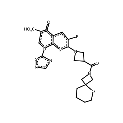 O=C(O)c1cn(-c2ncns2)c2nc(N3CC(C(=O)N4CC5(CCCCO5)C4)C3)c(F)cc2c1=O